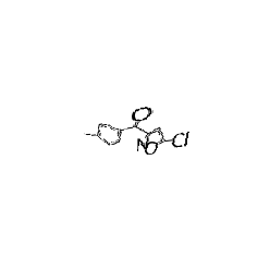 Cc1ccc(C(=O)c2cc(Cl)on2)cc1